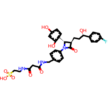 O=C(CC(=O)NCc1ccc(N2C(=O)[C@H](CC[C@H](O)c3ccc(F)cc3)[C@H]2c2ccc(O)cc2O)cc1)NCCS(=O)(=O)O